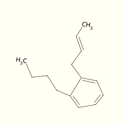 CC=CCc1ccccc1CCCC